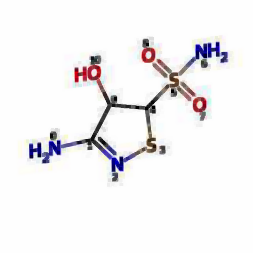 NC1=NSC(S(N)(=O)=O)C1O